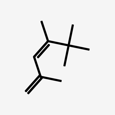 C=C(C)C=C(C)C(C)(C)C